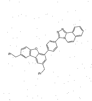 CC(C)Cc1ccc2oc3c(-c4ccc(-c5nnc6c7ccccc7ccn56)cc4)cc(CC(C)C)cc3c2c1